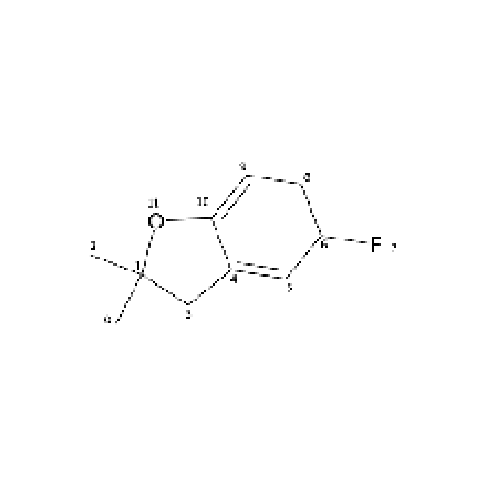 CC1(C)CC2=CC(F)CC=C2O1